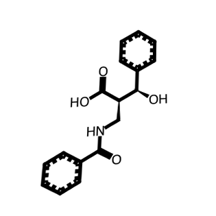 O=C(NC[C@@H](C(=O)O)[C@H](O)c1ccccc1)c1ccccc1